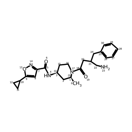 C[C@H]1C[C@@H](NC(=O)c2cc(C3CC3)on2)CCN1C(=O)CC(CN)Cc1ccccc1